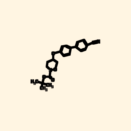 CC(C)(C)OC(=O)N1CCC(Oc2ccc(-c3ccc(C#N)cc3)cc2)CO1